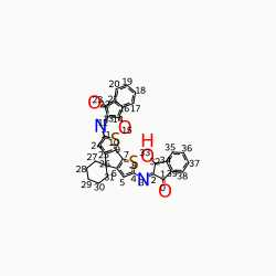 O=C1/C(=N/c2cc3c(s2)-c2sc(N=c4c(=O)c5ccccc5c4=O)cc2C32CCCCC2)C(O)c2ccccc21